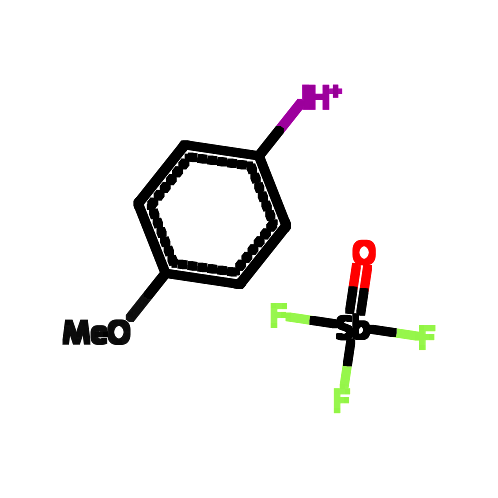 COc1ccc([IH+])cc1.[O]=[Sb]([F])([F])[F]